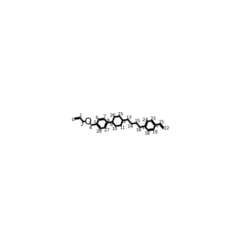 C=CCOCc1ccc(C2CCC(CCCCc3ccc(C=C)cc3)CC2)cc1